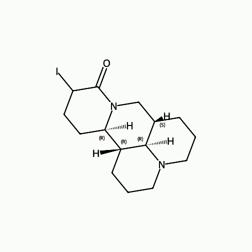 O=C1C(I)CC[C@@H]2[C@H]3CCCN4CCC[C@@H](CN12)[C@H]34